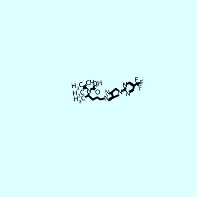 CC(CCCn1cc2c(n1)CN(c1ncc(C(F)(F)F)cn1)C2)N(C(=O)O)C(C)(C)C